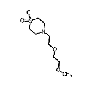 COCCOCCN1CCS(=O)(=O)CC1